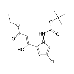 CCOC(=O)/C=C(\O)c1nc(Cl)cn1NC(=O)OC(C)(C)C